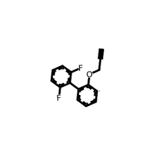 C#CCOc1[c]cccc1-c1c(F)cccc1F